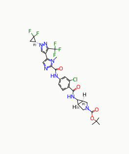 Cn1c(-c2cn([C@@H]3CC3(F)F)nc2C(F)(F)F)cnc1C(=O)Nc1ccc(C(=O)NC2[C@H]3CN(C(=O)OC(C)(C)C)C[C@@H]23)c(Cl)c1